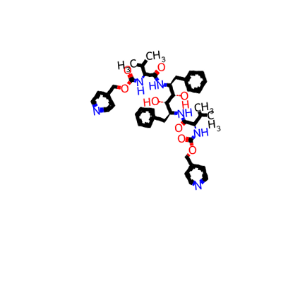 CC(C)[C@H](NC(=O)OCc1ccncc1)C(=O)N[C@@H](Cc1ccccc1)[C@H](O)[C@@H](O)[C@H](Cc1ccccc1)NC(=O)[C@@H](NC(=O)OCc1ccncc1)C(C)C